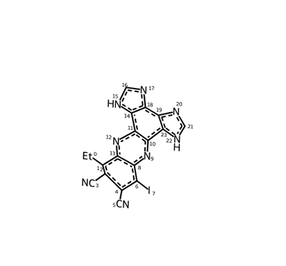 CCc1c(C#N)c(C#N)c(I)c2nc3c(nc12)c1[nH]cnc1c1nc[nH]c13